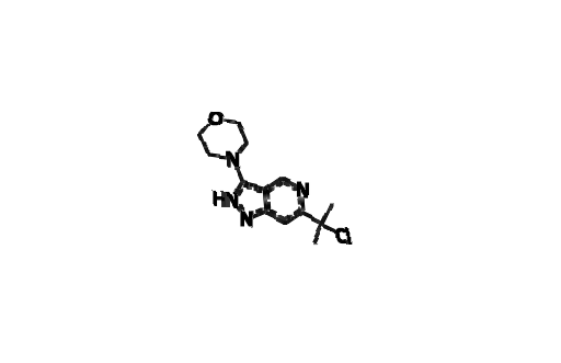 CC(C)(Cl)c1cc2n[nH]c(N3CCOCC3)c2cn1